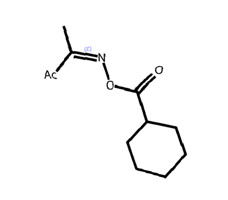 CC(=O)/C(C)=N\OC(=O)C1CCCCC1